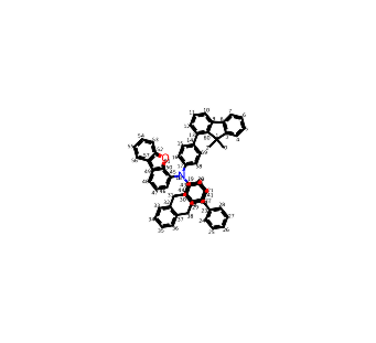 CC1(C)c2ccccc2-c2cccc(-c3ccc(N(c4ccc(-c5ccccc5)c5c4C4c6ccccc6C5c5ccccc54)c4cccc5c4oc4ccccc45)cc3)c21